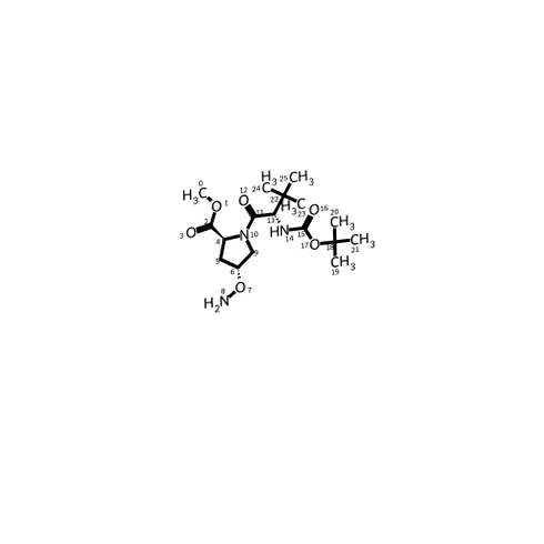 COC(=O)[C@@H]1C[C@@H](ON)CN1C(=O)[C@@H](NC(=O)OC(C)(C)C)C(C)(C)C